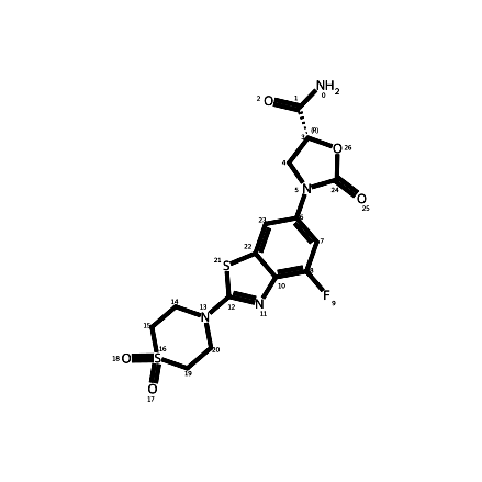 NC(=O)[C@H]1CN(c2cc(F)c3nc(N4CCS(=O)(=O)CC4)sc3c2)C(=O)O1